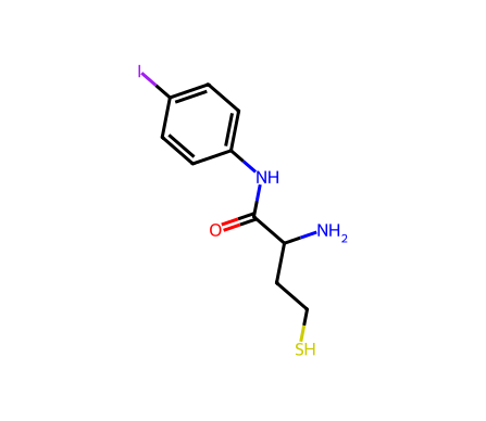 NC(CCS)C(=O)Nc1ccc(I)cc1